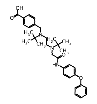 CC(C)(C)N(CCN(Cc1ccc(C(=O)O)cc1)C(C)(C)C)CC(=O)Nc1ccc(Oc2ccccc2)cc1